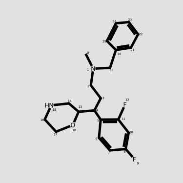 CN(CCC(c1ccc(F)cc1F)C1CNCCO1)Cc1ccccc1